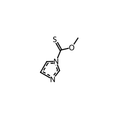 COC(=S)n1ccnc1